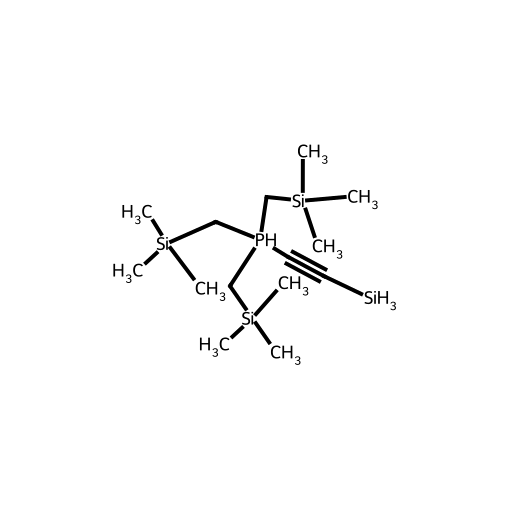 C[Si](C)(C)C[PH](C#C[SiH3])(C[Si](C)(C)C)C[Si](C)(C)C